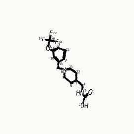 O=C(O)NCC1CCN(Cc2cccc(OC(F)(F)F)c2)CC1